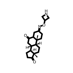 C[C@]12CCC(=NOC3CNC3)CC1C(=O)C[C@@H]1[C@H]2CC[C@]2(C)C(=O)CC[C@@H]12